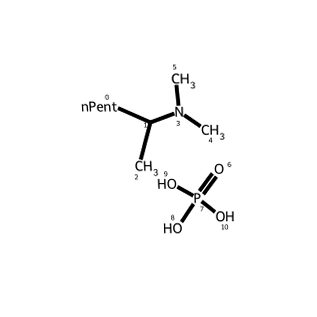 CCCCCC(C)N(C)C.O=P(O)(O)O